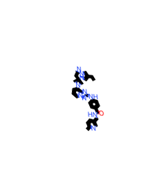 CCc1cnn(C2(CC#N)CN(c3cccn4nc(Nc5ccc(C(=O)NCc6ccc(C)nc6)cc5)nc34)C2)c1